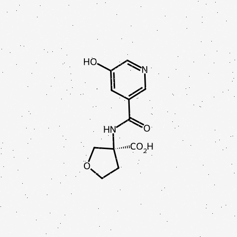 O=C(N[C@@]1(C(=O)O)CCOC1)c1cncc(O)c1